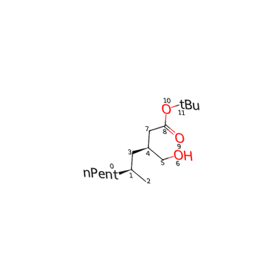 CCCCC[C@H](C)C[C@H](CO)CC(=O)OC(C)(C)C